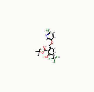 CC(C)(C)OC(=O)c1c(COc2ccc(Cl)nc2)ccc(C(F)(F)F)c1O